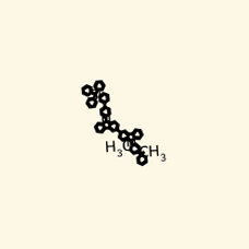 CC1(C2=CCC(C)(n3c4ccccc4c4cc(-c5ccc6c(c5)c5ccccc5n6-c5ccc(-c6cccc([Si](c7ccccc7)(c7ccccc7)c7ccccc7)c6)cc5)ccc43)C=C2)C=CC=CC1